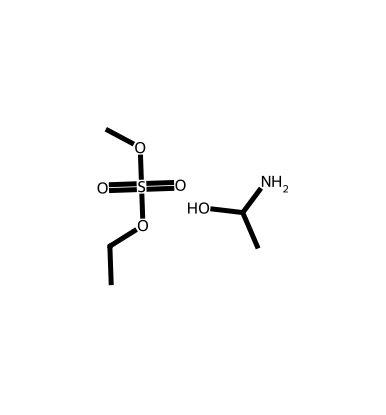 CC(N)O.CCOS(=O)(=O)OC